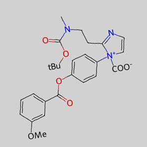 COc1cccc(C(=O)Oc2ccc([N+]3(C(=O)[O-])C=CN=C3CCN(C)C(=O)OC(C)(C)C)cc2)c1